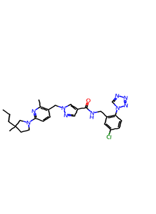 CCCC1(C)CCN(c2ccc(Cn3cc(C(=O)NCc4cc(Cl)ccc4-n4cnnn4)cn3)c(C)n2)C1